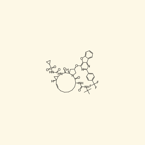 CC(C)(C)NC(=O)N[C@H]1CCCCC/C=C\[C@@H]2C[C@@]2(C(=O)NS(=O)(=O)C2CC2)NC(=O)[C@@H]2C[C@@H](Oc3nc(-c4ccc(C(F)(F)F)cc4)nc4c3oc3ccccc34)CN2C1=O